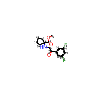 COC(=O)C1(NCC(=O)c2cc(F)cc(F)c2)CCCC1